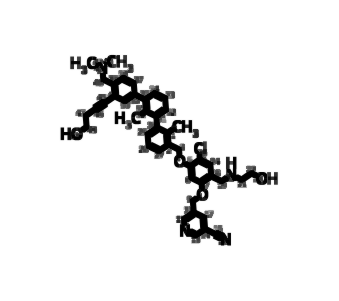 Cc1c(COc2cc(OCc3cncc(C#N)c3)c(CNCCO)cc2Cl)cccc1-c1cccc(-c2ccc(CN(C)C)c(C#CCCO)c2)c1C